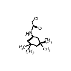 CC1(C)C=C(NC(=O)CCl)CC(C)(C)C1